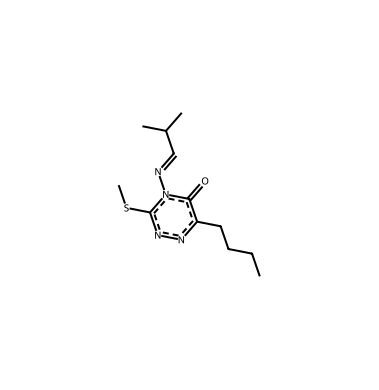 CCCCc1nnc(SC)n(N=CC(C)C)c1=O